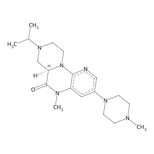 CC(C)N1CCN2c3ncc(N4CCN(C)CC4)cc3N(C)C(=O)[C@H]2C1